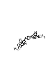 CCc1cc2ncc(CN3CCN(c4cnc5c(NC)cncc5c4)CC3)cc2[nH]c1=O